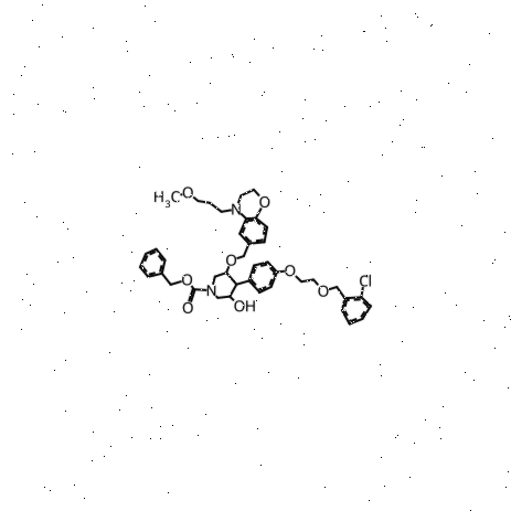 COCCCN1CCOc2ccc(COC3CN(C(=O)OCc4ccccc4)CC(O)C3c3ccc(OCCOCc4ccccc4Cl)cc3)cc21